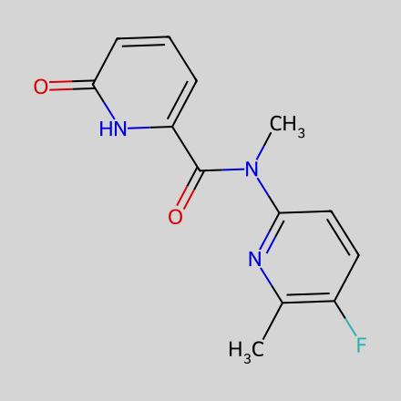 Cc1nc(N(C)C(=O)c2cccc(=O)[nH]2)ccc1F